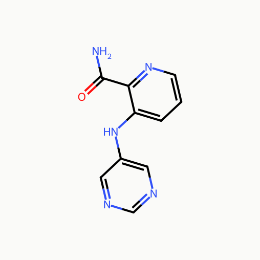 NC(=O)c1ncccc1Nc1cncnc1